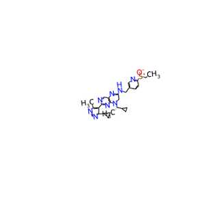 CC[S+]([O-])c1ccc(CNC2=Nc3cnc(-c4c(C)ncnc4C4CC4)nc3N([C@@H](C)C3CC3)C2)cn1